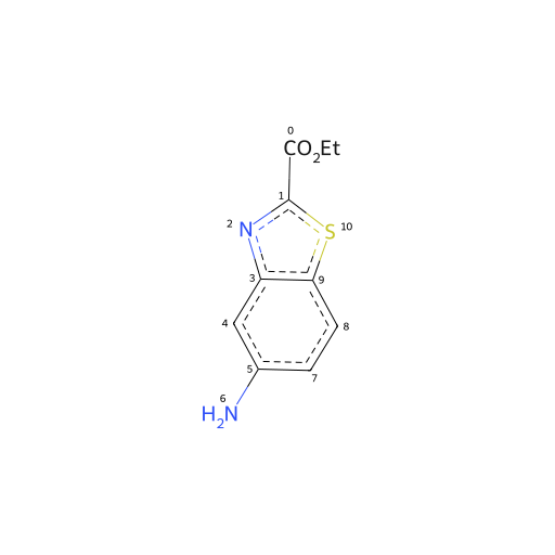 CCOC(=O)c1nc2cc(N)ccc2s1